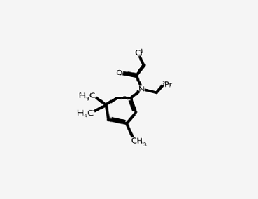 CC1=CC(C)(C)CC(N(CC(C)C)C(=O)CCl)=C1